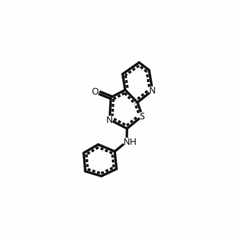 O=c1nc(Nc2ccccc2)sc2ncccc12